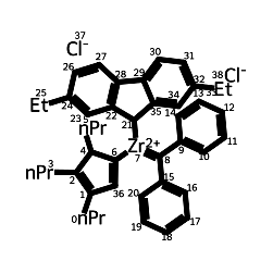 CCCC1=C(CCC)C(CCC)[C]([Zr+2](=[C](c2ccccc2)c2ccccc2)[CH]2c3cc(CC)ccc3-c3ccc(CC)cc32)=C1.[Cl-].[Cl-]